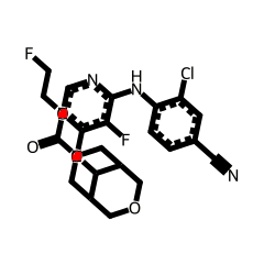 N#Cc1ccc(Nc2ncnc(OC3C4COCC3CN(C(=O)OCCF)C4)c2F)c(Cl)c1